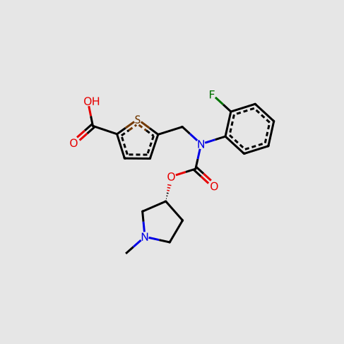 CN1CC[C@@H](OC(=O)N(Cc2ccc(C(=O)O)s2)c2ccccc2F)C1